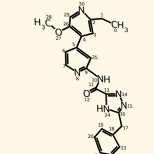 CCc1cc(-c2ccnc(NC(=O)c3nnc(Cc4ccccc4)[nH]3)c2)c(OC)cn1